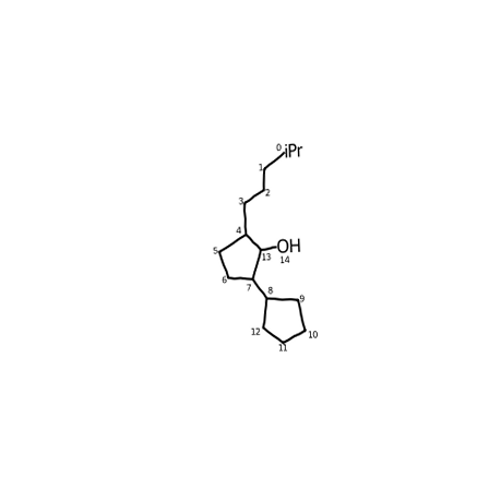 CC(C)CCCC1CCC(C2CCCC2)C1O